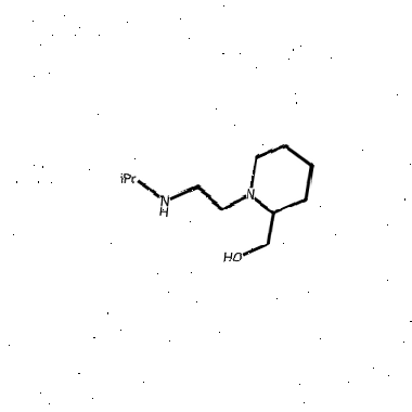 CC(C)NCCN1CCCCC1CO